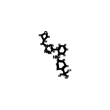 FC(F)(F)c1ccc(Nc2ccccc2-c2nnn(CC3COC3)n2)cc1